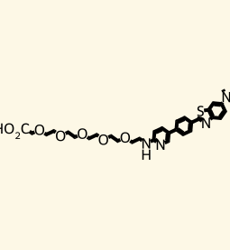 CN(C)c1ccc2nc(-c3ccc(-c4ccc(NCCOCCOCCOCCOCCOCC(=O)O)nc4)cc3)sc2c1